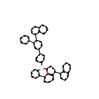 c1ccc(-c2cc(-c3ccc(N(c4ccc(-c5cccc6ccccc56)cc4)c4ccccc4-c4ccccc4)cc3)ccc2-c2cccc3ccccc23)cc1